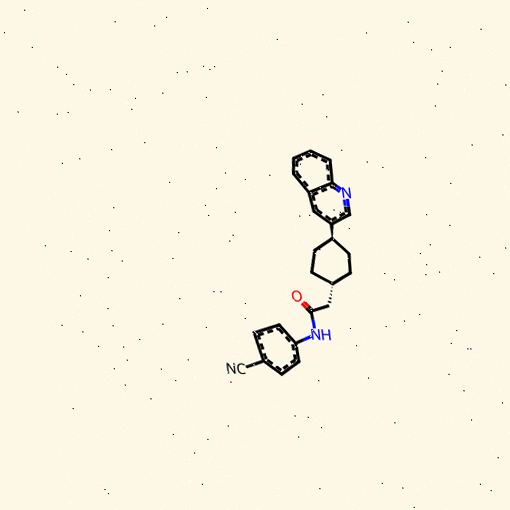 N#Cc1ccc(NC(=O)C[C@H]2CC[C@H](c3cnc4ccccc4c3)CC2)cc1